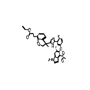 CCOC(=O)CCc1cccc2c1OCC2(C)c1cnc(-c2cc(Oc3c(F)cc4[nH]ccc4c3S(C)(=O)=O)ccc2F)[nH]1